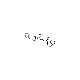 O=C(CCCC(=O)N1CCCC2CCCCC21)N1CCC(Cc2ccccc2)CC1